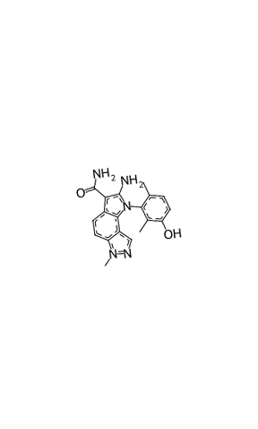 Cc1ccc(O)c(C)c1-n1c(N)c(C(N)=O)c2ccc3c(cnn3C)c21